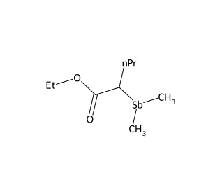 CCC[CH](C(=O)OCC)[Sb]([CH3])[CH3]